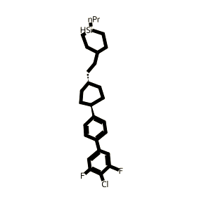 CCC[SiH]1CCC(CC[C@H]2CC[C@H](c3ccc(-c4cc(F)c(Cl)c(F)c4)cc3)CC2)CC1